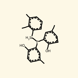 Cc1ccc(O)c(P([SiH2]c2cccc(C)c2C)c2cc(C)ccc2O)c1